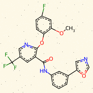 COc1cc(F)ccc1Oc1ncc(C(F)(F)F)cc1C(=O)Nc1cccc(-c2cnco2)c1